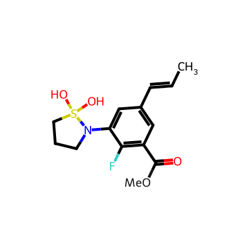 CC=Cc1cc(C(=O)OC)c(F)c(N2CCCS2(O)O)c1